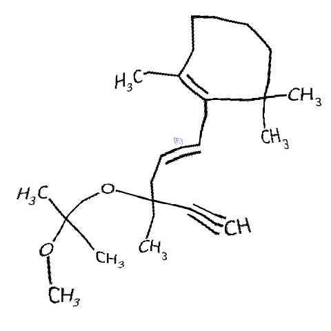 C#CC(C)(/C=C/C1=C(C)CCCC1(C)C)OC(C)(C)OC